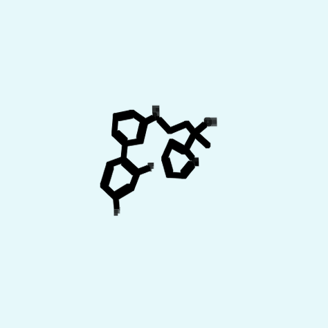 CC(O)(CCNc1cccc(-c2ccc(F)cc2F)c1)c1ccccn1